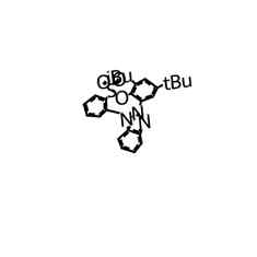 CCC(C)c1cc(C(C)(C)C)cc(-n2nc3ccccc3n2)c1OS(=O)(=O)c1ccccc1C